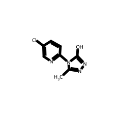 Cc1nnc(O)n1-c1ccc(Cl)cn1